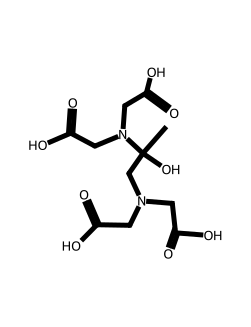 CC(O)(CN(CC(=O)O)CC(=O)O)N(CC(=O)O)CC(=O)O